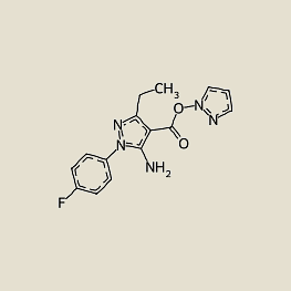 CCc1nn(-c2ccc(F)cc2)c(N)c1C(=O)On1cccn1